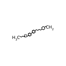 C=CC1CCC(CCCCc2ccc(-c3ccc(COCCCCC)cc3)cc2)CC1